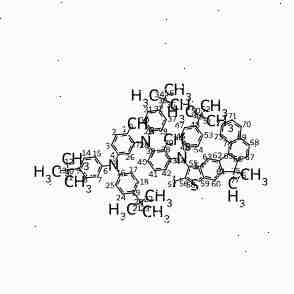 Cc1ccc(N(c2ccc(C(C)(C)C)cc2)c2ccc(C(C)(C)C)cc2)cc1N(c1ccc(C(C)(C)C)cc1)c1cccc(N(c2ccc(C(C)(C)C)cc2)c2c(I)sc3cc4c(cc23)-c2c(ccc3ccccc23)C4(C)C)c1C